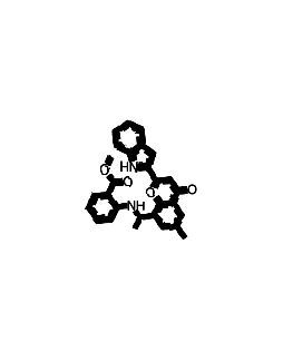 COC(=O)c1ccccc1NC(C)c1cc(C)cc2c(=O)cc(-c3cc4ccccc4[nH]3)oc12